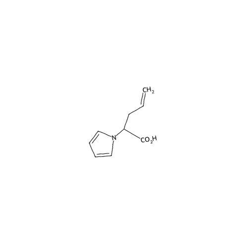 C=CCC(C(=O)O)n1cccc1